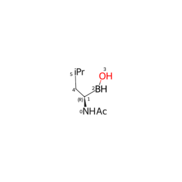 CC(=O)N[C@H](BO)CC(C)C